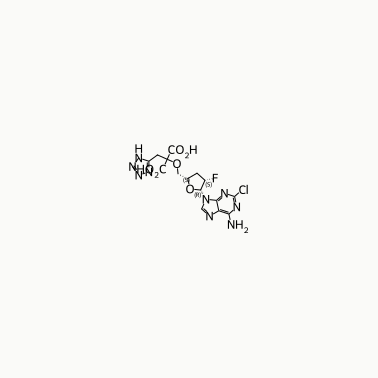 Nc1nc(Cl)nc2c1ncn2[C@@H]1O[C@H](COC(Cc2nnn[nH]2)(C(=O)O)C(=O)O)C[C@@H]1F